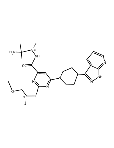 COC[C@@H](C)Oc1nc(C(=O)N[C@@H](C)C(C)(C)N)cc(N2CCC(c3n[nH]c4ncccc34)CC2)n1